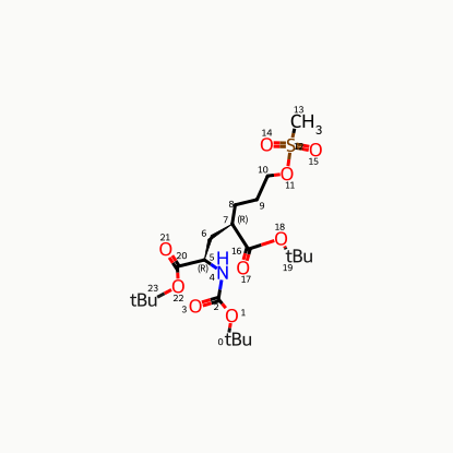 CC(C)(C)OC(=O)N[C@H](C[C@@H](CCCOS(C)(=O)=O)C(=O)OC(C)(C)C)C(=O)OC(C)(C)C